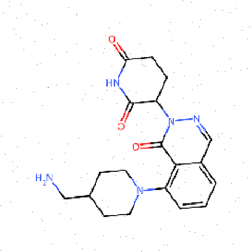 NCC1CCN(c2cccc3cnn(C4CCC(=O)NC4=O)c(=O)c23)CC1